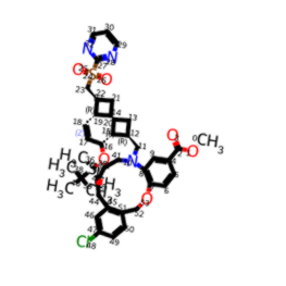 COC(=O)c1ccc2c(c1)N(C[C@@H]1CC[C@H]1C(/C=C\[C@H]1CC[C@@H]1CS(=O)(=O)c1ncccn1)O[Si](C)(C)C(C)(C)C)CCCCc1cc(Cl)ccc1CO2